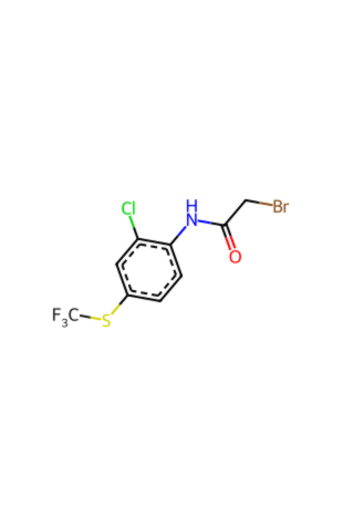 O=C(CBr)Nc1ccc(SC(F)(F)F)cc1Cl